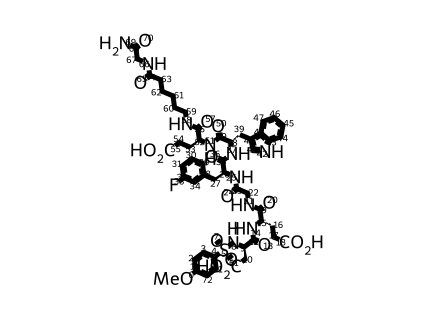 COc1ccc(S(=O)(=O)N[C@H](CC(=O)O)C(=O)N[C@@H](CCC(=O)O)C(=O)NCC(=O)N[C@@H](Cc2cccc(F)c2)C(=O)N[C@@H](Cc2c[nH]c3ccccc23)C(=O)N[C@@H](CCC(=O)O)C(=O)NCCCCCC(=O)NCC(N)=O)cc1